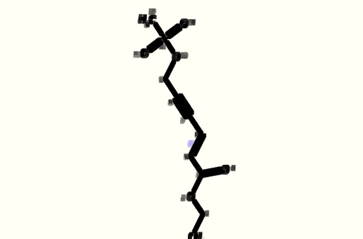 CCOC(=O)/C=C/C#CCOS(C)(=O)=O